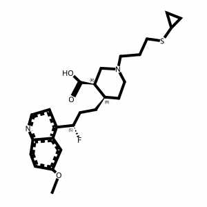 COc1ccc2nccc([C@@H](F)CC[C@@H]3CCN(CCCSC4CC4)C[C@@H]3C(=O)O)c2c1